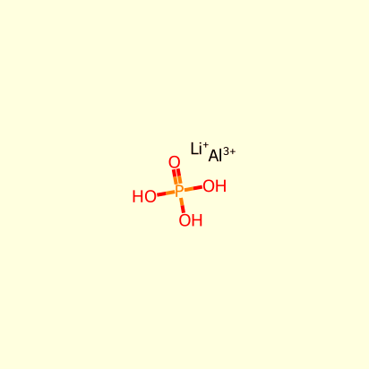 O=P(O)(O)O.[Al+3].[Li+]